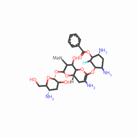 CNC1C(O[C@H]2OC(CO)[C@@H](N)CC2O)O[C@H]2CC(N)=C(O[C@@H]3C(N)C[C@@H](N)C(OC(=O)c4ccccc4)C3F)OC2C1O